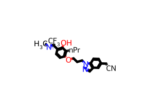 CCCc1c(OCCCn2ncc3cc(CC#N)ccc32)ccc(/C(=N/C)C(F)(F)F)c1O